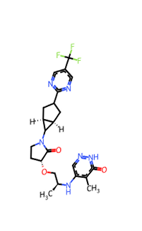 Cc1c(N[C@@H](C)CO[C@@H]2CCN(C3[C@H]4CC(c5ncc(C(F)(F)F)cn5)C[C@@H]34)C2=O)cn[nH]c1=O